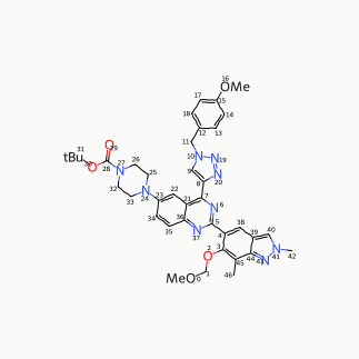 COCOc1c(-c2nc(-c3cn(Cc4ccc(OC)cc4)nn3)c3cc(N4CCN(C(=O)OC(C)(C)C)CC4)ccc3n2)cc2cn(C)nc2c1C